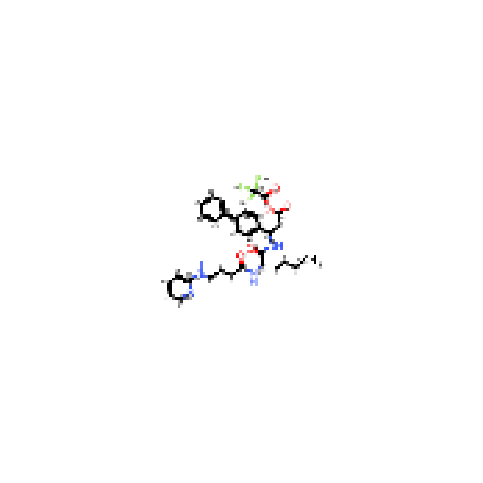 CCCC[C@H](NC(=O)CCCNc1ccccn1)C(=O)NC(CC(=O)OC(=O)C(F)(F)F)c1ccc(-c2ccccc2)cc1